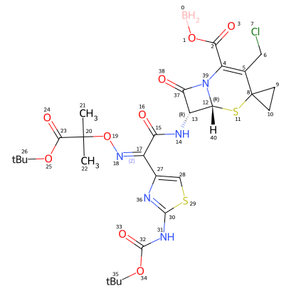 BOC(=O)C1=C(CCl)C2(CC2)S[C@@H]2[C@H](NC(=O)/C(=N\OC(C)(C)C(=O)OC(C)(C)C)c3csc(NC(=O)OC(C)(C)C)n3)C(=O)N12